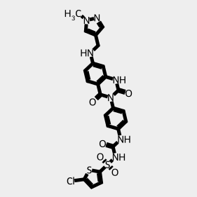 Cn1cc(CNc2ccc3c(=O)n(-c4ccc(NC(=O)NS(=O)(=O)c5ccc(Cl)s5)cc4)c(=O)[nH]c3c2)cn1